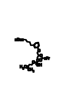 CCCCCCCCCCCCCCc1cccc(OCC(COP(O)OCCN(C)C)OC(=O)CCC)c1